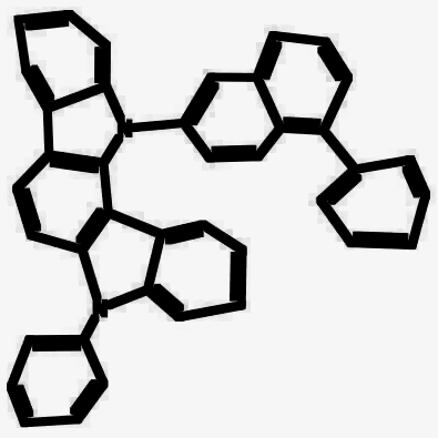 c1ccc(-c2cccc3cc(-n4c5ccccc5c5ccc6c(c7ccccc7n6-c6ccccc6)c54)ccc23)cc1